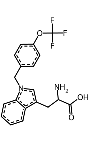 NC(Cc1cn(Cc2ccc(OC(F)(F)F)cc2)c2ccccc12)C(=O)O